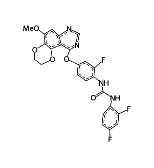 COc1cc2ncnc(Oc3ccc(NC(=O)Nc4ccc(F)cc4F)c(F)c3)c2c2c1OCCO2